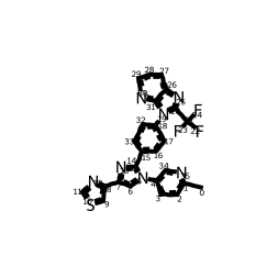 Cc1ccc(-n2cc(-c3cscn3)nc2-c2ccc(-n3c(C(F)(F)F)nc4cccnc43)cc2)cn1